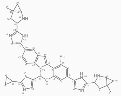 CC12CC(c3ncc(-c4cc(F)c5c(c4)OC(c4cnc(C6CC6)s4)n4c-5cc5cc(-c6cnc(C7CC8(C)CC8N7)[nH]6)ccc54)[nH]3)NC1C2